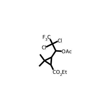 CCOC(=O)C1C(C(OC(C)=O)C(Cl)(Cl)C(F)(F)F)C1(C)C